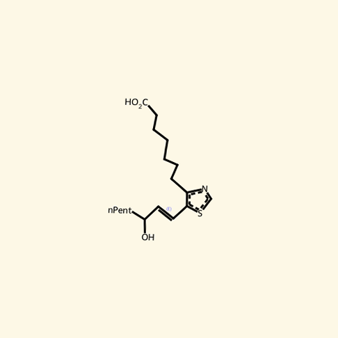 CCCCCC(O)/C=C/c1scnc1CCCCCCC(=O)O